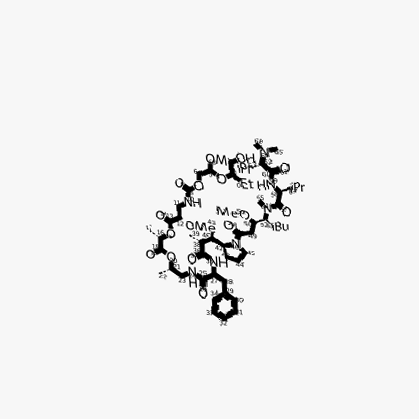 CCC(CO)OC(COC(=O)NCCC(=O)O[C@@H](C)C(=O)O[C@@H](C)CNC(=O)C(Cc1ccccc1)NC(=O)[C@H](C)[C@@H](OC)[C@@H]1CCCN1C(=O)CC(OC)[C@H]([C@@H](C)CC)N(C)C(=O)[C@@H](NC(=O)[C@H](C(C)C)N(C)C)C(C)C)OC